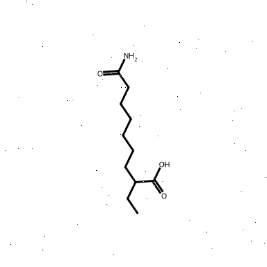 CCC(CCCCCCC(N)=O)C(=O)O